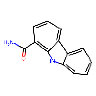 NC(=O)c1cccc2c1[nH]c1ccccc12